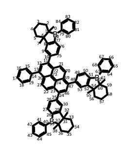 CC12CCCCC1(C)c1cc(-c3cc(-c4ccccc4)c4ccc5c(-c6ccc7c(c6)C6(C)CCCCC6(C)B7c6ccccc6)cc(-c6ccc7c(c6)C6(C)CCCCC6(C)B7c6ccccc6)c6ccc3c4c56)ccc1B2c1ccccc1